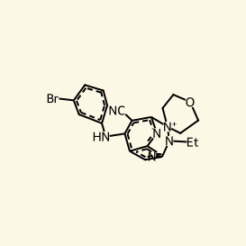 CCN1c2cc3c(Nc4cccc(Br)c4)c(C#N)c(nc3cn2)[N+]12CCOCC2